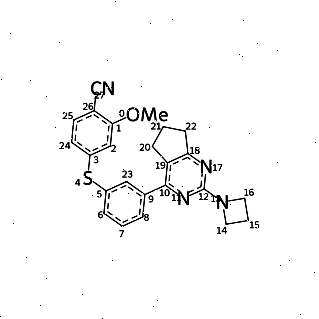 COc1cc(Sc2cccc(-c3nc(N4CCC4)nc4c3CCC4)c2)ccc1C#N